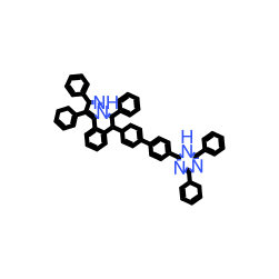 C1=CCCC(C2=C3c4ccccc4C(C4C=CC(c5ccc(C6N=C(C7C=CC=CC7)N=C(c7ccccc7)N6)cc5)=CC4)C(c4ccccc4)N3NC2c2ccccc2)=C1